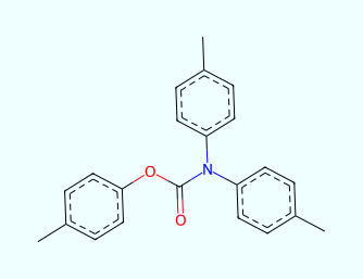 Cc1ccc(OC(=O)N(c2ccc(C)cc2)c2ccc(C)cc2)cc1